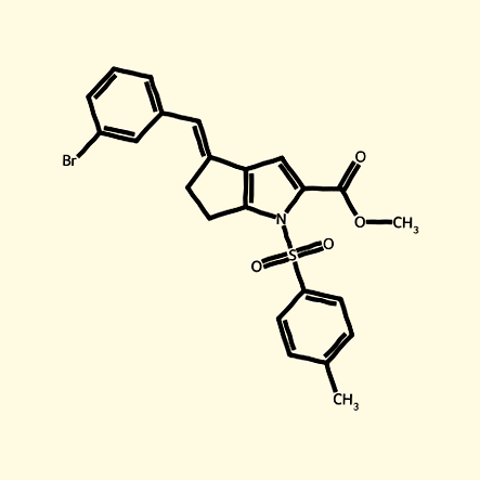 COC(=O)c1cc2c(n1S(=O)(=O)c1ccc(C)cc1)CC/C2=C\c1cccc(Br)c1